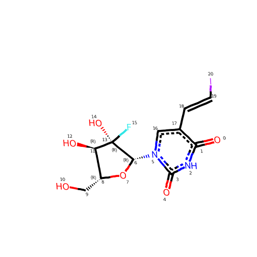 O=c1[nH]c(=O)n([C@@H]2O[C@H](CO)[C@@H](O)[C@@]2(O)F)cc1C=CI